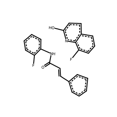 O=C(C=Cc1ccccc1)Nc1ccccc1F.Oc1ccc2cccc(F)c2n1